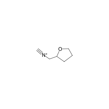 C#[N+]CC1CCCO1